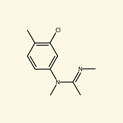 CN=C(C)N(C)c1ccc(C)c(Cl)c1